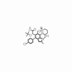 COC(=O)[C@@H](OC(C)(C)C)c1c(C)c2c3c(cc(C)n3C[C@@H]3CCCS(=O)(=O)N23)c1-c1ccc(Cl)cc1